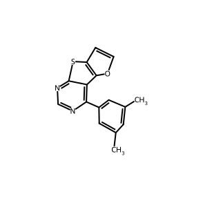 Cc1cc(C)cc(-c2ncnc3sc4ccoc4c23)c1